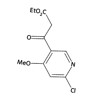 CCOC(=O)CC(=O)c1cnc(Cl)cc1OC